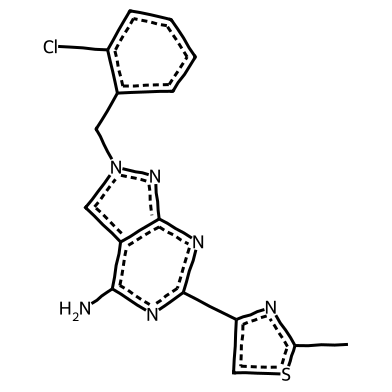 Cc1nc(-c2nc(N)c3cn(Cc4ccccc4Cl)nc3n2)cs1